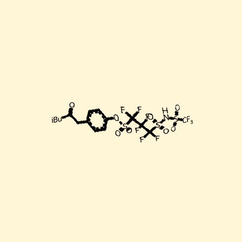 CCC(C)C(=O)Cc1ccc(OS(=O)(=O)C(F)(F)C(F)(F)C(F)(F)S(=O)(=O)NS(=O)(=O)C(F)(F)F)cc1